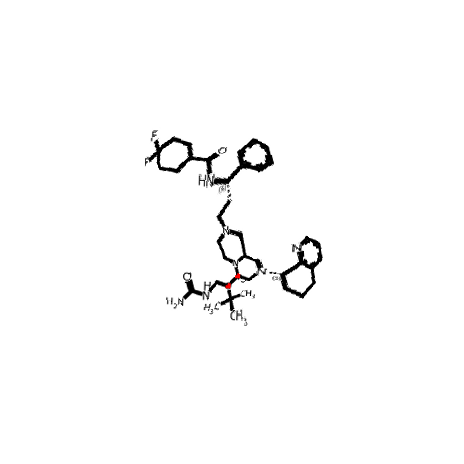 CC(C)(C)OC(=O)N1CCN(CC[C@H](NC(=O)C2CCC(F)(F)CC2)c2ccccc2)CC1CN(CCCCNC(N)=O)[C@H]1CCCc2cccnc21